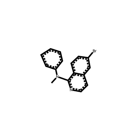 CN(c1ccccc1)c1nccc2cc(Br)ccc12